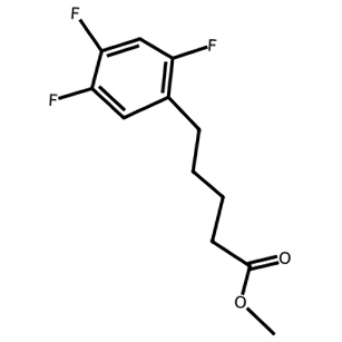 COC(=O)CCCCc1cc(F)c(F)cc1F